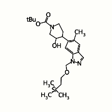 Cc1cc2cnn(COCC[Si](C)(C)C)c2cc1C1CCN(C(=O)OC(C)(C)C)CC1O